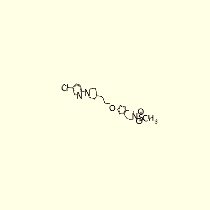 CS(=O)(=O)N1CCc2cc(OCCCC3CCN(c4ccc(Cl)cn4)CC3)ccc2C1